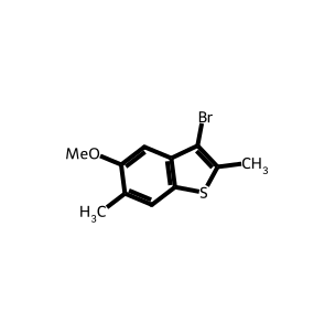 COc1cc2c(Br)c(C)sc2cc1C